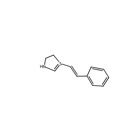 C(=CS1=CNCC1)c1ccccc1